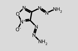 NN=Nc1no[n+]([O-])c1N=NN